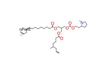 C=CCC(C)CCCC(=O)OCC(COC(=O)CCCCCCC/C=C\C/C=C\CCCCC)COC(=O)OCCC1CCCN1C